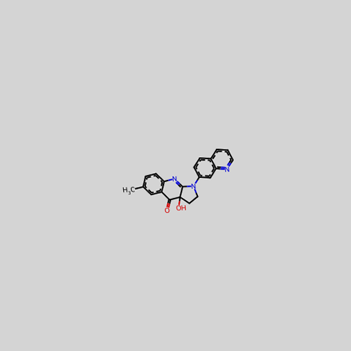 Cc1ccc2c(c1)C(=O)C1(O)CCN(c3ccc4cccnc4c3)C1=N2